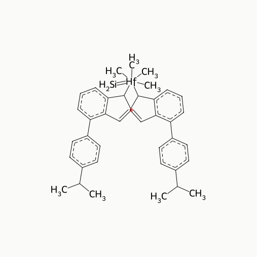 CC(C)c1ccc(-c2cccc3c2C=C[CH]3[Hf]([CH3])([CH3])([CH3])([CH3])(=[SiH2])[CH]2C=Cc3c(-c4ccc(C(C)C)cc4)cccc32)cc1